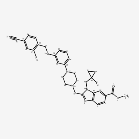 COC(=O)c1ccc2nc(CN3CCN(c4cccc(OCc5ccc(C#N)cc5F)c4)CC3)n(CC3(F)CC3)c2c1